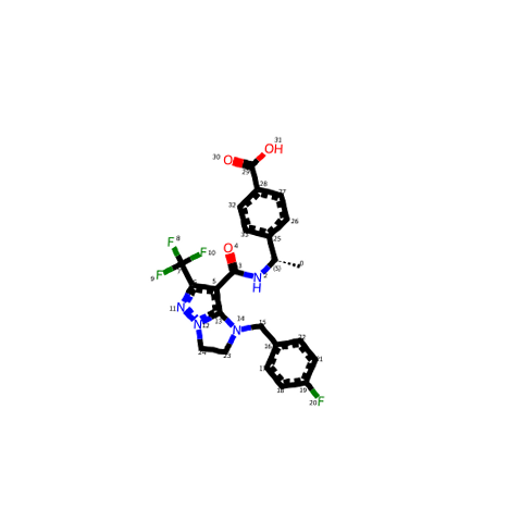 C[C@H](NC(=O)c1c(C(F)(F)F)nn2c1N(Cc1ccc(F)cc1)CC2)c1ccc(C(=O)O)cc1